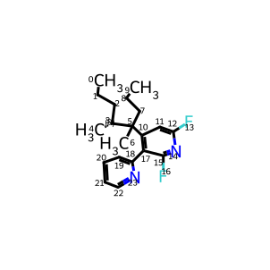 CCC[C@@H](C)C(C)(CCC)c1cc(F)nc(F)c1-c1ccccn1